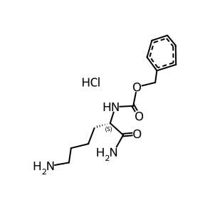 Cl.NCCCC[C@H](NC(=O)OCc1ccccc1)C(N)=O